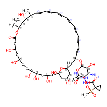 C[C@@H]1[C@H](O)[C@@H](C)/C=C/C=C/C=C/C=C/C=C/C=C/C=C/[C@H](O[C@@H]2O[C@H](C)[C@@H](O)[C@H](N)[C@@H]2O)C[C@@H]2O[C@](O)(C[C@@H](O)C[C@@H](O)[C@H](O)CC[C@@H](O)CC(O)CC(=O)O[C@H]1C)C[C@H](O)[C@H]2NC(=O)NNC(=O)C1(S(C)(=O)=O)CC1